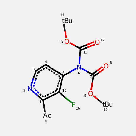 CC(=O)c1nccc(N(C(=O)OC(C)(C)C)C(=O)OC(C)(C)C)c1F